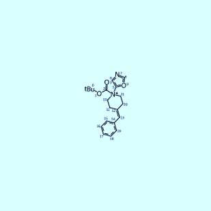 CC(C)(C)OC(=O)[N+]1(c2cnco2)CCC(=Cc2ccccc2)CC1